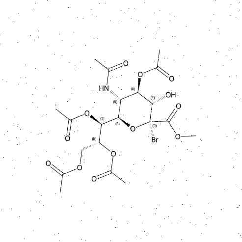 COC(=O)[C@@]1(Br)O[C@@H]([C@H](OC(C)=O)[C@@H](COC(C)=O)OC(C)=O)[C@H](NC(C)=O)[C@@H](OC(C)=O)[C@@H]1O